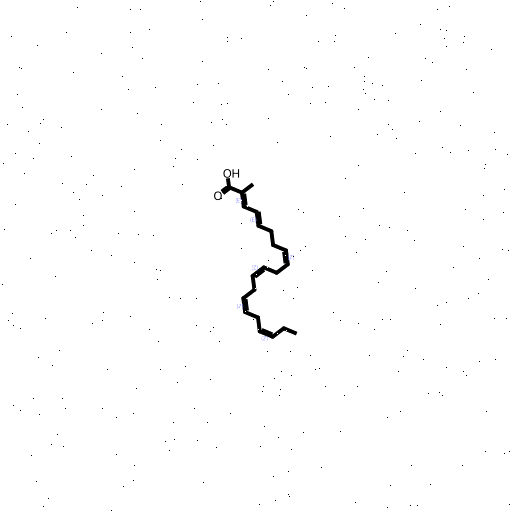 CC/C=C\C/C=C\C/C=C\C/C=C\CC/C=C/C=C(\C)C(=O)O